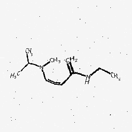 C=C(/C=C\N(C)C(C)C)NCC